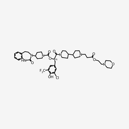 O=C(CCN1CCC(C2CCN(C(=O)[C@@H](Cc3cc(Cl)c(O)c(C(F)(F)F)c3)OC(=O)N3CCC(N4CCc5ccccc5NC4=O)CC3)CC2)CC1)OCCN1CCOCC1